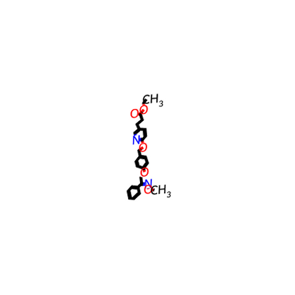 CCOC(=O)CCc1ccc(OCc2ccc(OCC(=NOC)c3ccccc3)cc2)nc1